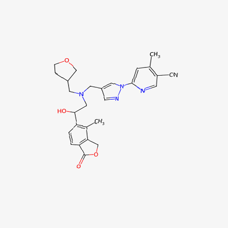 Cc1cc(-n2cc(CN(CC3CCOC3)CC(O)c3ccc4c(c3C)COC4=O)cn2)ncc1C#N